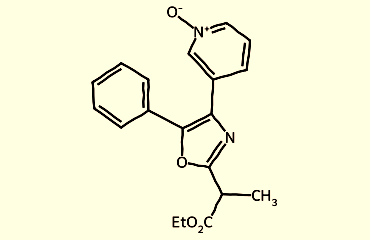 CCOC(=O)C(C)c1nc(-c2ccc[n+]([O-])c2)c(-c2ccccc2)o1